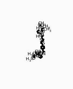 COC(=O)N[C@H](C(=O)N1CCCC1c1ncc(-c2cc3sc(-c4ccc(-c5cnc([C@@H]6CCCN6C(=O)[C@@H](NC(=O)OC)C(C)C)[nH]5)cc4)cc3s2)[nH]1)C(C)C